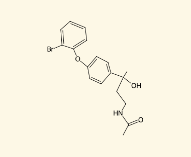 CC(=O)NCCC(C)(O)c1ccc(Oc2ccccc2Br)cc1